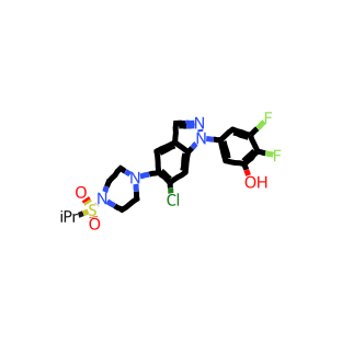 CC(C)S(=O)(=O)N1CCN(c2cc3cnn(-c4cc(O)c(F)c(F)c4)c3cc2Cl)CC1